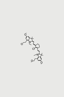 CCN1/C(=C\C=C2/CCCC(/C=C/C3=[N+](CC)c4c(CCOC)cc(OC)cc4C3(C)C)=C2Cl)C(C)(C)c2cc(OC)cc(CCOC)c21